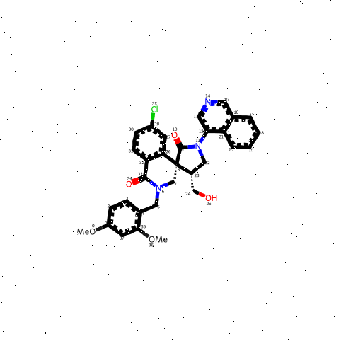 COc1ccc(CN2C[C@@]3(C(=O)N(c4cncc5ccccc45)C[C@@H]3CO)c3cc(Cl)ccc3C2=O)c(OC)c1